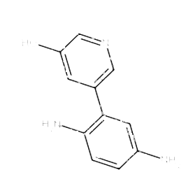 Nc1ccc(N)c(-c2cncc(O)c2)c1